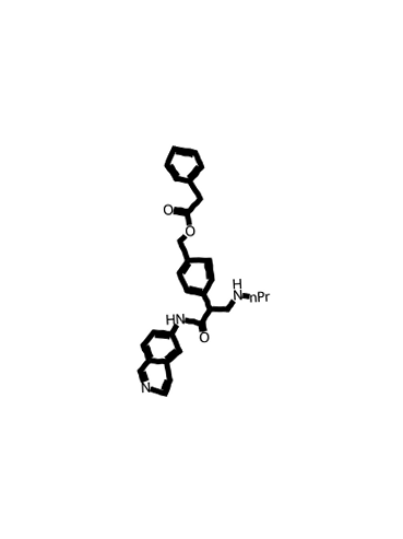 CCCNCC(C(=O)Nc1ccc2cnccc2c1)c1ccc(COC(=O)Cc2ccccc2)cc1